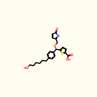 O=C1C=CC(CO[C@H](c2ccc(CCCCCCO)cc2)c2ccc(C(=O)O)s2)=N1